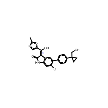 Cc1ncc(/C(O)=C2\C(=O)Nc3cc(Cl)c(-c4ccc(C5(CO)CC5)cc4)cc32)s1